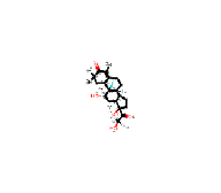 [2H]C1=C2CC[C@H]3C4CCC(O)(C(=O)C([2H])([2H])O)[C@@]4(C)C[C@H](O)C3(F)[C@@]2(C)CC([2H])([2H])C1=O